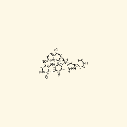 N#Cc1cnc2c(Cl)cc(NC(C3=CN(C4CCNCC4)NN3)c3ccc(F)c(F)c3)cc2c1Nc1ccc(F)c(Cl)c1